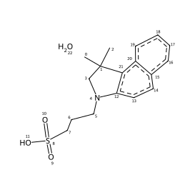 CC1(C)CN(CCCS(=O)(=O)O)c2ccc3ccccc3c21.O